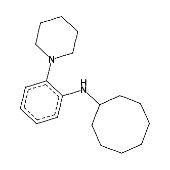 c1ccc(N2CCCCC2)c(NC2CCCCCCC2)c1